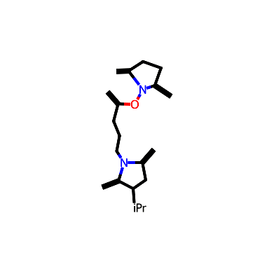 C=C(CCCN1C(=C)CC(C(C)C)C1=C)ON1C(=C)CCC1=C